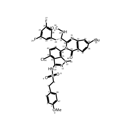 COc1ccc(CCS(=O)(=O)Nc2nn(C)c3c(-n4c([C@H](Cc5cc(F)cc(F)c5)NC(=O)O)nc5cc(C(C)(C)C)ccc5c4=O)ccc(Cl)c23)cc1